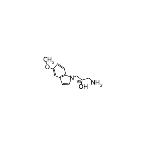 COc1ccc2c(ccn2C[C@H](O)CN)c1